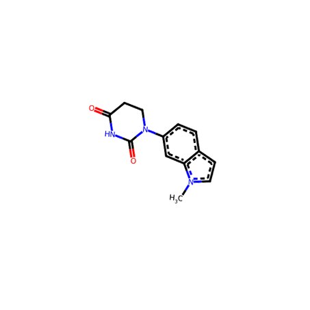 Cn1ccc2ccc(N3CCC(=O)NC3=O)cc21